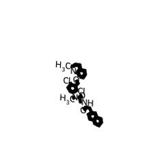 Cc1ccc2cccc(OCc3c(Cl)ccc(N(C)C(=O)CNC(=O)Cc4ccc5ccccc5c4)c3Cl)c2n1